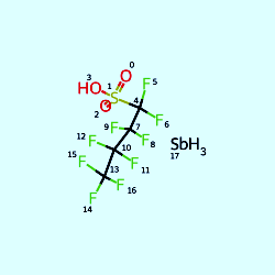 O=S(=O)(O)C(F)(F)C(F)(F)C(F)(F)C(F)(F)F.[SbH3]